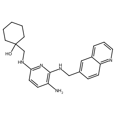 Nc1ccc(NCC2(O)CCCCC2)nc1NCc1ccc2ncccc2c1